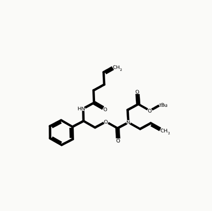 C=CCCC(=O)NC(COC(=O)N(CC=C)CC(=O)OC(C)(C)C)c1ccccc1